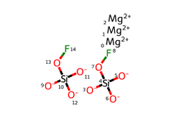 [Mg+2].[Mg+2].[Mg+2].[O-][Si]([O-])([O-])OF.[O-][Si]([O-])([O-])OF